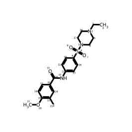 CCN1CCN(S(=O)(=O)c2ccc(NC(=O)c3ccc(OC)c(I)c3)cc2)CC1